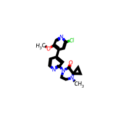 COc1cnc(Cl)cc1-c1ccnc(N2CCN(C)C3(CC3)C2=O)c1